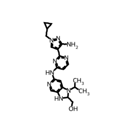 CC(C)N1c2cc(Nc3ccnc(-c4cn(CC5CC5)nc4N)n3)ncc2NC1CO